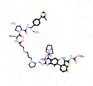 CCCCOC(=O)N1C2CCC1CN(c1nc(OC[C@@H]3CCCN3CCCOCCC(=O)N[C@H](C(=O)N3C[C@H](O)C[C@H]3C(=O)N[C@@H](CO)c3ccc(-c4scnc4C)cc3)C(C)(C)C)nc3c(F)c(-c4ccc(F)c5sc(NC(=O)OC(C)(C)C)c(C#N)c45)c(Cl)cc13)C2